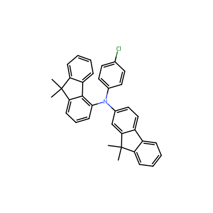 CC1(C)c2ccccc2-c2ccc(N(c3ccc(Cl)cc3)c3cccc4c3-c3ccccc3C4(C)C)cc21